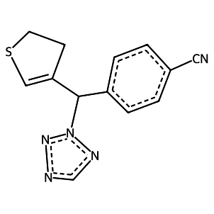 N#Cc1ccc(C(C2=CSCC2)n2ncnn2)cc1